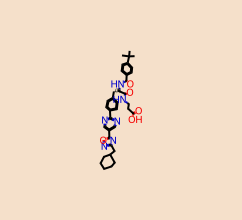 CC(C)(C)c1ccc(C(=O)N[C@@H](Cc2ccc(-c3ncc(-c4nc(CC5CCCCC5)no4)cn3)cc2)C(=O)NCCC(=O)O)cc1